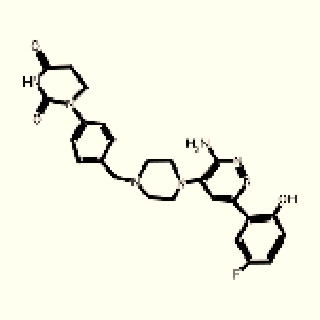 Nc1nnc(-c2cc(F)ccc2O)cc1N1CCN(Cc2ccc(N3CCC(=O)NC3=O)cc2)CC1